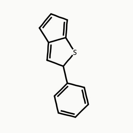 C1=CC2=CC(c3ccccc3)SC2=C1